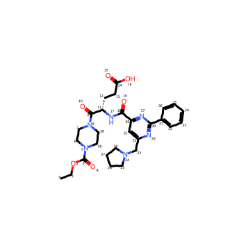 CCOC(=O)N1CCN(C(=O)[C@H](CCC(=O)O)NC(=O)c2cc(CN3CCCC3)nc(-c3ccccc3)n2)CC1